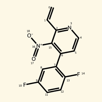 C=Cc1nccc(-c2cc(F)ccc2F)c1[N+](=O)[O-]